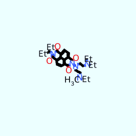 CCC(CC)N1C(=O)c2ccc3c4c(ccc(c24)C1=O)C(=O)N(N(CCN(C)CC)CCN(CC)CC)C3=O